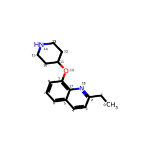 CCc1ccc2cccc(OC3CCNCC3)c2n1